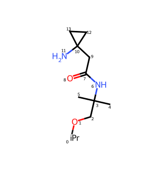 CC(C)OCC(C)(C)NC(=O)CC1(N)CC1